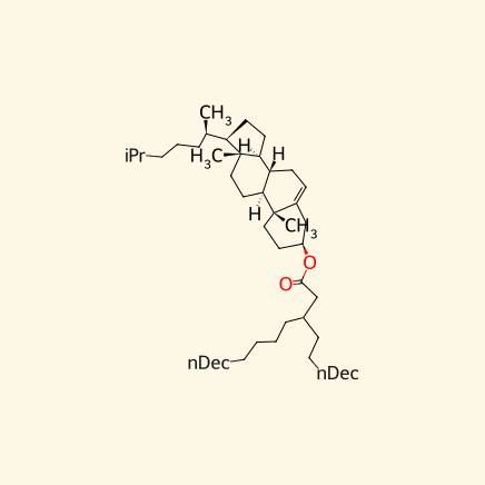 CCCCCCCCCCCCCCC(CCCCCCCCCCCC)CC(=O)O[C@H]1CC[C@@]2(C)C(=CC[C@H]3[C@@H]4CC[C@H]([C@H](C)CCCC(C)C)[C@@]4(C)CC[C@@H]32)C1